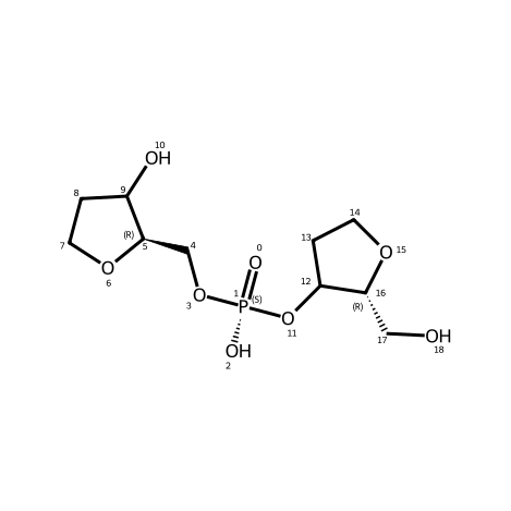 O=[P@](O)(OC[C@H]1OCCC1O)OC1CCO[C@@H]1CO